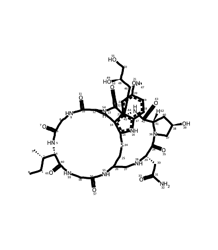 CC[C@H](C)[C@@H]1NC(=O)CNC(=O)C2Cc3c([nH]c4ccc(O)cc34)SCC(CN[C@@H](CC(N)=O)C(=O)N3C[C@H](O)C[C@H]3C(=O)N[C@@H]([C@@H](C)[C@@H](O)CO)C(=O)N2)NC(=O)CNC1=O